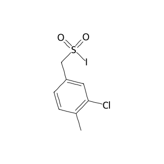 Cc1ccc(CS(=O)(=O)I)cc1Cl